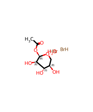 Br.Br.CC(=O)O[C@H]1OC[C@@H](O)[C@H](O)[C@H]1O.O